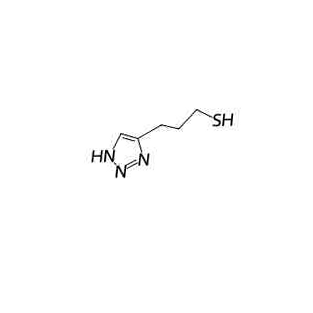 SCCCc1c[nH]nn1